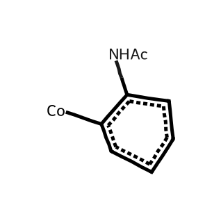 CC(=O)Nc1cccc[c]1[Co]